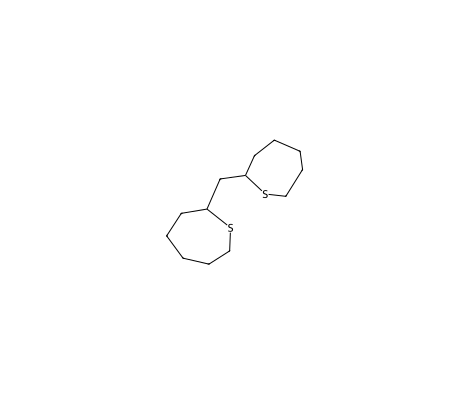 C1CCSC(CC2CCCCCS2)CC1